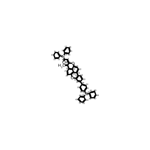 C=C1/C(=C\C(=C)N(C2=CCCC=C2)c2ccccc2)Oc2ccc3c4c(ccc1c24)Oc1cc(-c2ccc(N(c4ccccc4)c4ccccc4)cc2)ccc1-3